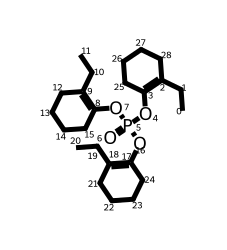 CCC1=C(OP(=O)(OC2=C(CC)CCCC2)OC2=C(CC)CCCC2)CCCC1